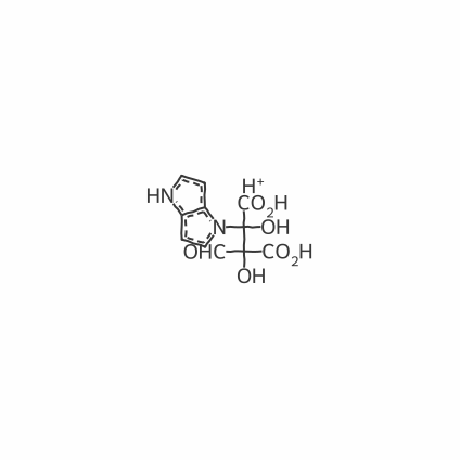 O=CC(O)(C(=O)O)C(O)(C(=O)O)n1ccc2[nH]ccc21.[H+]